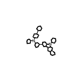 c1ccc(-c2ccc(N(c3ccccc3)c3cccc(-c4ccc5c(c4)c4cc6ccccc6cc4n5-c4ccccc4)c3)cc2)cc1